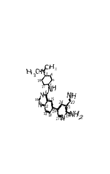 CN(C)C1CCC(Nc2ncnc3ccc(-c4cnc(N)c(C=N)c4)cc23)CC1